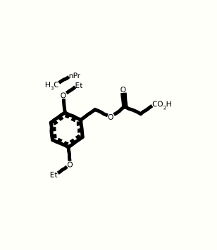 CCCC.CCOc1ccc(OCC)c(COC(=O)CC(=O)O)c1